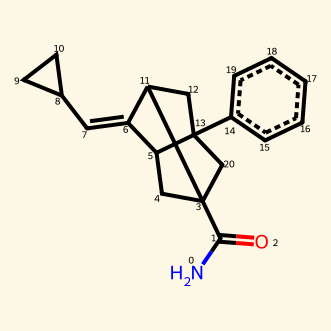 NC(=O)C12CC3/C(=C/C4CC4)C1CC3(c1ccccc1)C2